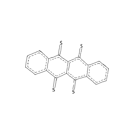 S=c1c2c(=S)c3ccccc3c(=S)c=2c(=S)c2ccccc12